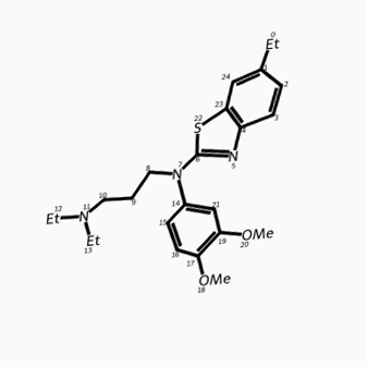 CCc1ccc2nc(N(CCCN(CC)CC)c3ccc(OC)c(OC)c3)sc2c1